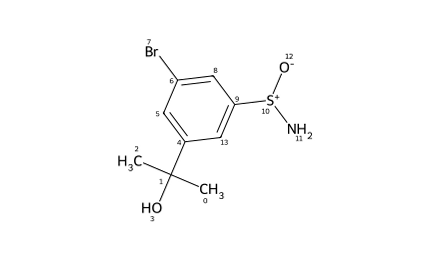 CC(C)(O)c1cc(Br)cc([S+](N)[O-])c1